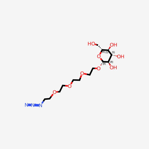 [N-]=[N+]=NCCOCCOCCOCCO[C@@H]1O[C@H](CO)[C@@H](O)[C@H](O)[C@H]1O